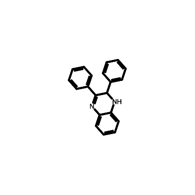 c1ccc(C2=Nc3ccccc3NC2c2ccccc2)cc1